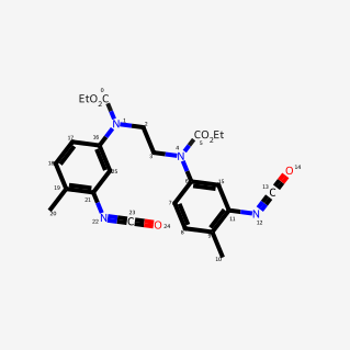 CCOC(=O)N(CCN(C(=O)OCC)c1ccc(C)c(N=C=O)c1)c1ccc(C)c(N=C=O)c1